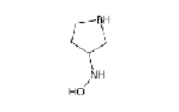 ONC1CBCC1